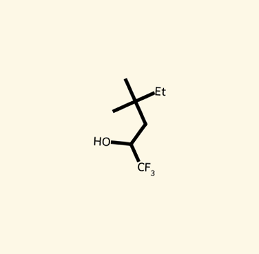 CCC(C)(C)CC(O)C(F)(F)F